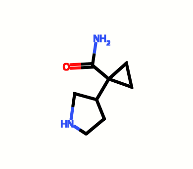 NC(=O)C1(C2CCNC2)CC1